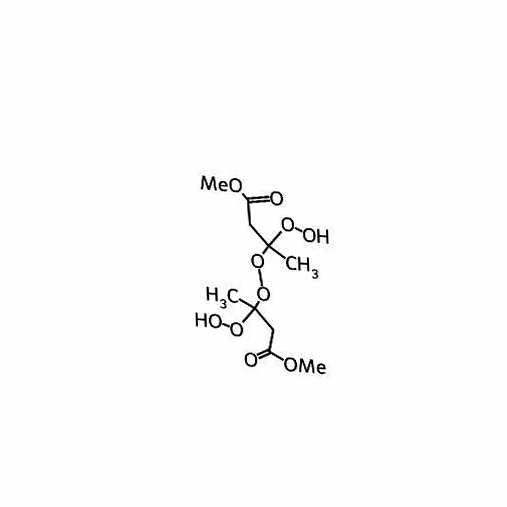 COC(=O)CC(C)(OO)OOC(C)(CC(=O)OC)OO